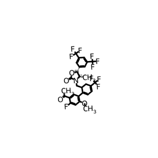 COc1cc(F)c(C(C)=O)cc1C1=CC=C(C(F)(F)F)CC1CN1C(=O)O[C@H](c2cc(C(F)(F)F)cc(C(F)(F)F)c2)[C@@H]1C